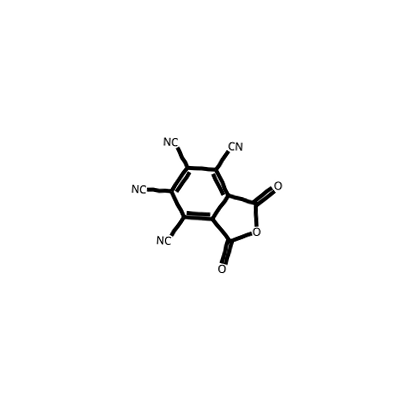 N#Cc1c(C#N)c(C#N)c2c(c1C#N)C(=O)OC2=O